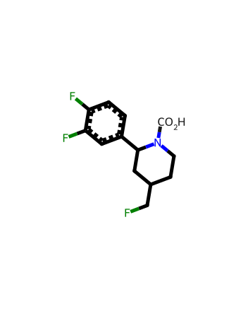 O=C(O)N1CCC(CF)CC1c1ccc(F)c(F)c1